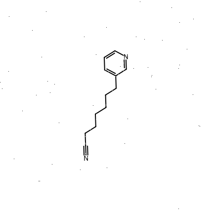 N#CCCCCCCc1cccnc1